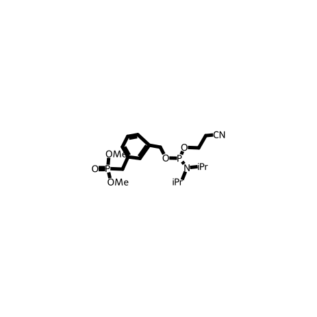 COP(=O)(Cc1cccc(COP(OCCC#N)N(C(C)C)C(C)C)c1)OC